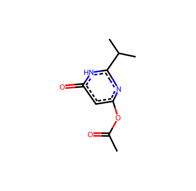 CC(=O)Oc1cc(=O)[nH]c(C(C)C)n1